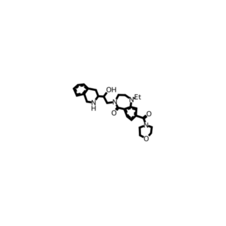 CCN1CCN(CC(O)C2Cc3ccccc3CN2)C(=O)c2ccc(C(=O)N3CCOCC3)cc21